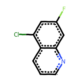 Fc1cc(Cl)c2cc[c]nc2c1